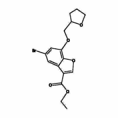 CCOC(=O)c1coc2c(OCC3CCCO3)cc(Br)cc12